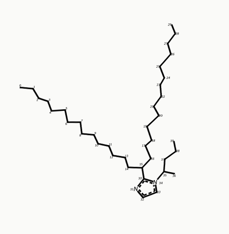 CCCCCCCCCCCCCCCC(CCCCCCCCCCCCCC)c1nccn1C(C)CCC